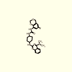 CN(C)c1nc(NC2CCC(NC(=O)Nc3cc(F)cc4c3OCOC4)CC2)nc2ccccc12